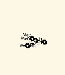 COc1cc2cc(CNc3ccccc3)c(=O)n(CC(=O)Nc3ccc(C(C)C)cc3)c2cc1OC